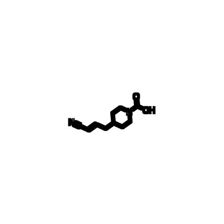 N#CC=CCC1CCN(C(=O)O)CC1